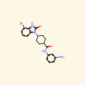 Nc1cccc(NC(=O)C2CCC(n3c(=O)[nH]c4c(Br)cccc43)CC2)c1